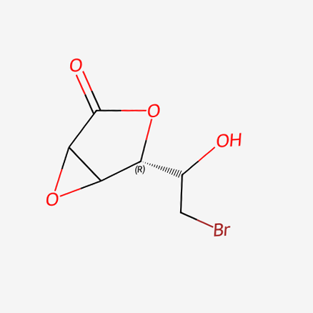 O=C1O[C@H](C(O)CBr)C2OC12